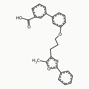 Cc1oc(-c2ccccc2)nc1CCCOc1cccc(-c2cccc(C(=O)O)c2)c1